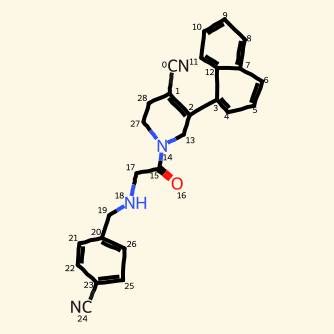 N#CC1=C(c2cccc3ccccc23)CN(C(=O)CNCc2ccc(C#N)cc2)CC1